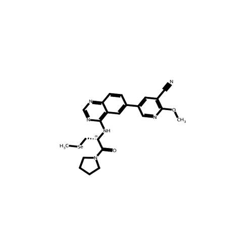 COc1ncc(-c2ccc3ncnc(N[C@@H](C[Se]C)C(=O)N4CCCC4)c3c2)cc1C#N